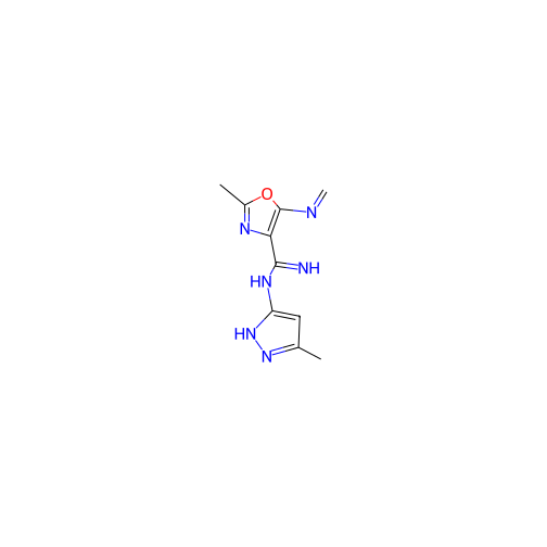 C=Nc1oc(C)nc1C(=N)Nc1cc(C)n[nH]1